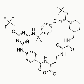 COC(=O)[C@H](CCNC(=O)C(=O)NCC1CCCN(C(=O)OC(C)(C)C)C1)NC(=O)c1ccc(Nc2nc(NC3(c4ccc(Cl)cc4)CC3)nc(OCC(F)(F)F)n2)cc1